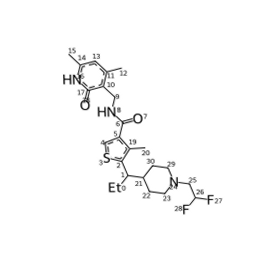 CCC(c1scc(C(=O)NCc2c(C)cc(C)[nH]c2=O)c1C)C1CCN(CC(F)F)CC1